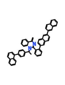 C=C(/N=C(\N=C(/C)c1ccc(-c2cccc3ccccc23)cc1)c1ccccc1-c1ccc2cc(-c3ccc4ccccc4c3)ccc2c1)c1ccccc1